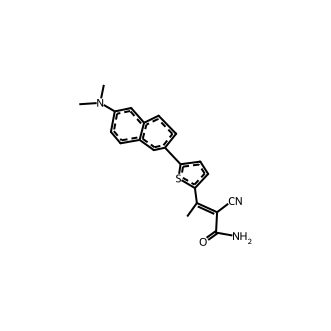 C/C(=C(/C#N)C(N)=O)c1ccc(-c2ccc3cc(N(C)C)ccc3c2)s1